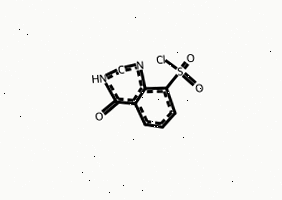 O=c1[nH]cnc2c(S(=O)(=O)Cl)cccc12